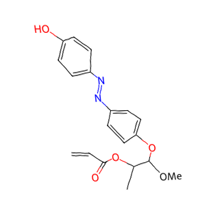 C=CC(=O)OC(C)C(OC)Oc1ccc(N=Nc2ccc(O)cc2)cc1